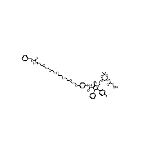 CC(C)c1c(C(=O)Nc2ccc(OCCOCCOCCOCCOCCOCCNC(=O)OCc3ccccc3)cc2)c(-c2ccccc2)c(-c2ccc(F)cc2)n1CC[C@@H]1C[C@H](CC(=O)OC(C)(C)C)OC(C)(C)O1